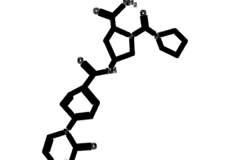 NC(=O)C1[CH]C(NC(=O)c2ccc(-n3ccccc3=O)cc2)CN1C(=O)N1CCCC1